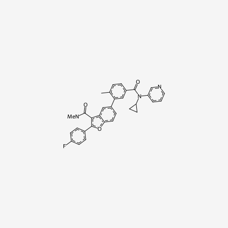 CNC(=O)c1c(-c2ccc(F)cc2)oc2ccc(-c3cc(C(=O)N(c4cccnc4)C4CC4)ccc3C)cc12